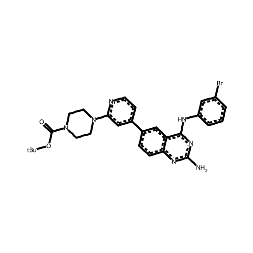 CC(C)(C)OC(=O)N1CCN(c2cc(-c3ccc4nc(N)nc(Nc5cccc(Br)c5)c4c3)ccn2)CC1